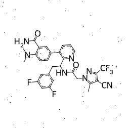 Cc1c(C#N)c(C(F)(F)F)nn1CC(=O)N[C@@H](Cc1cc(F)cc(F)c1)c1ncccc1-c1ccc(N(C)C)c(C(N)=O)c1